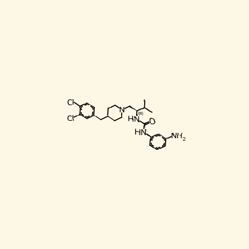 CC(C)[C@H](CN1CCC(Cc2ccc(Cl)c(Cl)c2)CC1)NC(=O)Nc1cccc(N)c1